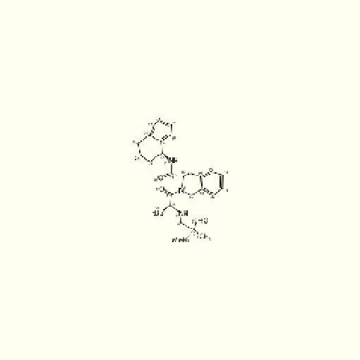 CN[C@@](C)(C=O)CN[C@H](C(=O)N1Cc2ccccc2C[C@H]1C(=O)N[C@H]1CCCc2ccccc21)C(C)(C)C